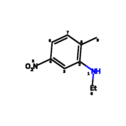 CCNc1cc([N+](=O)[O-])ccc1C